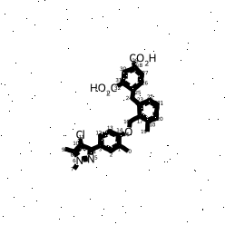 Cc1cc(-c2nn(C)c(C)c2Cl)ccc1OCc1c(C)cccc1Cc1ccc(C(=O)O)cc1C(=O)O